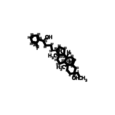 CC[C@]1(O)CC[C@@]2(C)C(=CC[C@H]3[C@@H]4CC[C@H](CCC[C@@H](O)c5ccccc5F)[C@@]4(C)CC[C@@H]32)C1